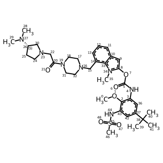 COc1c(NC(=O)Oc2cc3cccc(CN4CCN(C(=O)CN5CC[C@H](N(C)C)C5)CC4)c3n2C)cc(C(C)(C)C)cc1NS(C)(=O)=O